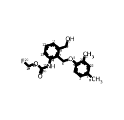 Cc1ccc(OCc2c(CO)cccc2NC(=O)OCF)c(C)c1